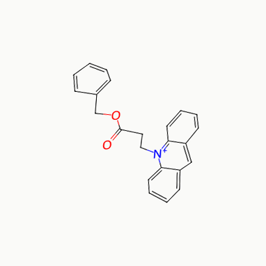 O=C(CC[n+]1c2ccccc2cc2ccccc21)OCc1ccccc1